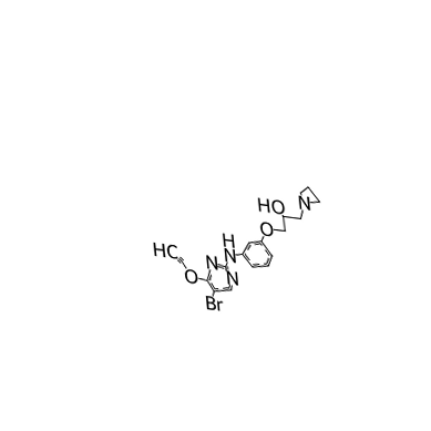 C#COc1nc(Nc2cccc(OC[C@H](O)CN3CCC3)c2)ncc1Br